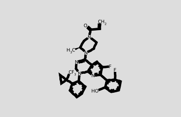 C=CC(=O)N1CCN(C2=NCN(c3ccccc3C3(C(F)(F)F)CC3)c3nc(-c4c(O)cccc4F)c(F)cc32)[C@@H](C)C1